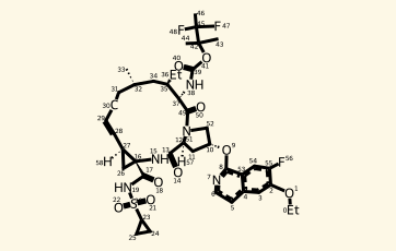 CCOc1cc2ccnc(O[C@@H]3C[C@H]4C(=O)N[C@]5(C(=O)NS(=O)(=O)C6CC6)C[C@H]5C=CCC[C@H](C)C[C@@H](CC)[C@H](NC(=O)OC(C)(C)C(C)(F)F)C(=O)N4C3)c2cc1F